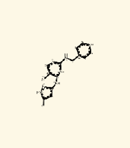 Cc1cc(Nc2nc(NCc3ccncc3)ncc2Br)n[nH]1